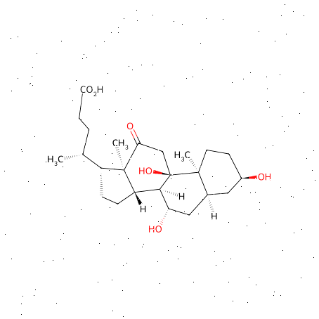 C[C@H](CCC(=O)O)[C@H]1CC[C@H]2[C@@H]3[C@@H](O)C[C@@H]4C[C@H](O)CC[C@]4(C)[C@@]3(O)CC(=O)[C@]12C